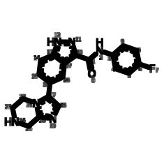 O=C(Nc1ccc(F)cc1)c1n[nH]c2ccc(-c3cnc4n3CCNC4)cc12